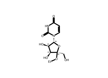 CCO[C@]1(CO)O[C@@H](n2ccc(=O)[nH]c2=O)[C@H](O)[C@@H]1O